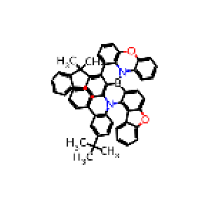 CC(C)(C)c1ccc(N2c3cc4c(c5c3B(c3ccc6oc7ccccc7c6c32)N2c3ccccc3Oc3cccc-5c32)C(C)(C)c2ccccc2-4)c(-c2ccccc2)c1